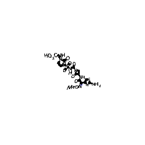 CO/N=C(\C(=O)NC1CN(C(=O)NS(=O)(=O)N2CCN(NC(=O)O)C2=O)C1=O)c1csc(N)n1